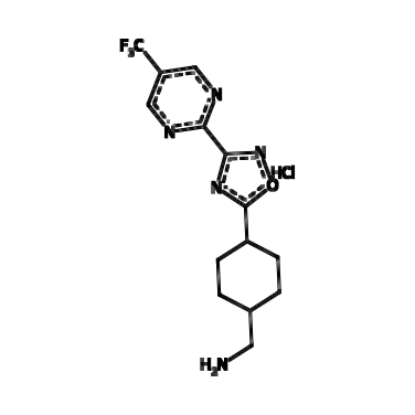 Cl.NCC1CCC(c2nc(-c3ncc(C(F)(F)F)cn3)no2)CC1